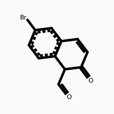 O=CC1C(=O)C=Cc2cc(Br)ccc21